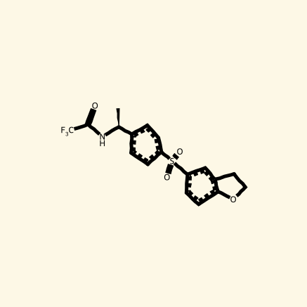 C[C@H](NC(=O)C(F)(F)F)c1ccc(S(=O)(=O)c2ccc3c(c2)CCO3)cc1